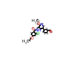 CCCOc1ccc(C(=O)NCc2cc(-c3cccc(C=O)c3)cnc2OCC)c(Cl)c1